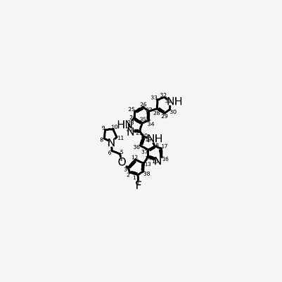 Fc1cc(OCCN2CCCC2)cc(-c2nccc3[nH]c(-c4n[nH]c5ccc(C6=CCNCC6)cc45)cc23)c1